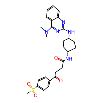 CN(C)c1nc(N[C@H]2CC[C@@H](NC(=O)CCC(=O)c3ccc(S(C)(=O)=O)cc3)CC2)nc2ccccc12